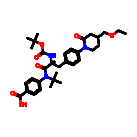 CCOCC1CCN(c2ccc(C[C@H](NC(=O)OC(C)(C)C)C(=O)N(c3ccc(C(=O)O)cc3)C(C)(C)C)cc2)C(=O)C1